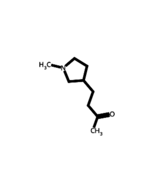 CC(=O)CCC1CCN(C)C1